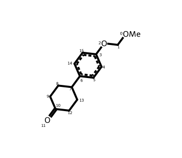 COCOc1ccc(C2CCC(=O)CC2)cc1